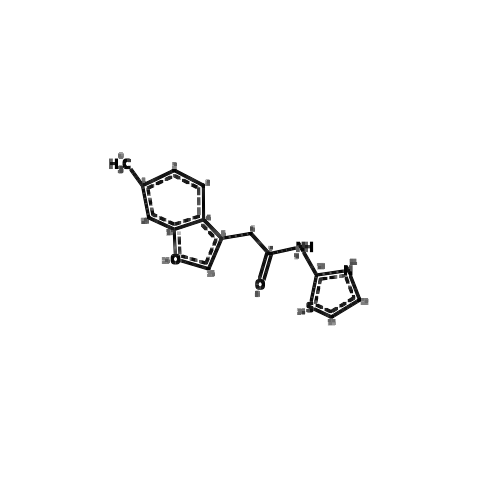 Cc1ccc2c(CC(=O)Nc3nccs3)coc2c1